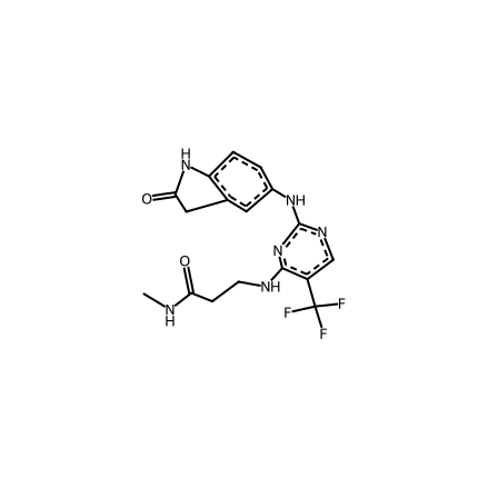 CNC(=O)CCNc1nc(Nc2ccc3c(c2)CC(=O)N3)ncc1C(F)(F)F